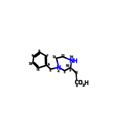 O=C(O)C[C@H]1CN(Cc2ccccc2)CCN1